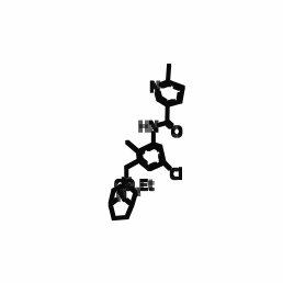 CCOC(=O)N1C2CCC1CN(Cc1cc(Cl)cc(NC(=O)c3ccc(C)nc3)c1C)C2